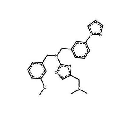 COc1cccc(CN(Cc2cccc(-n3cccn3)c2)c2nc(CN(C)C)co2)c1